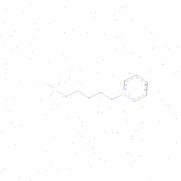 C[N+](C)(C)CCCCC[n+]1ccccc1